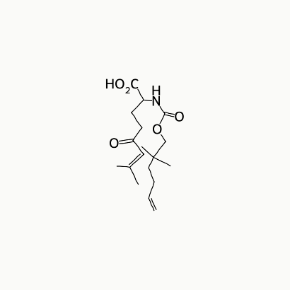 C=CCCC(C)(C)COC(=O)NC(CCC(=O)C=C(C)C)C(=O)O